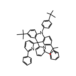 CC(C)(C)c1ccc(N2c3ccc(C(C)(C)C)cc3C(c3cccc(-c4ccccc4)n3)(c3cccc(-c4ccccc4)n3)c3cc(C(C)(C)C)ccc32)cc1